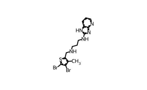 Cc1c(CNCCCNc2nc3ncccc3[nH]2)sc(Br)c1Br